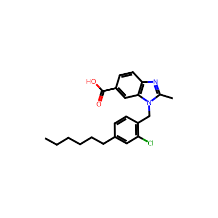 CCCCCCc1ccc(Cn2c(C)nc3ccc(C(=O)O)cc32)c(Cl)c1